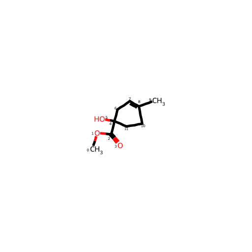 COC(=O)C1(O)CC=C(C)CC1